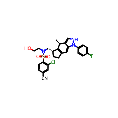 C[C@H]1C2=CNN(c3ccc(F)cc3)C2=CC2=C1[C@@H](CN(CCO)S(=O)(=O)c1ccc(C#N)cc1Cl)CC2